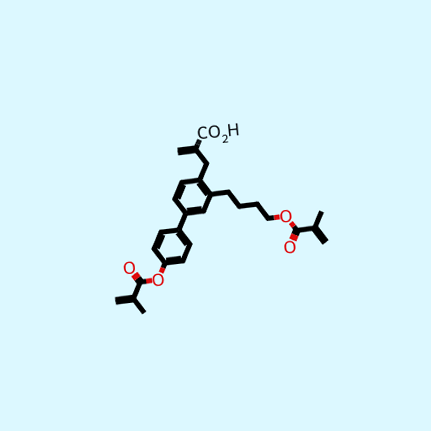 C=C(C)C(=O)OCCCCc1cc(-c2ccc(OC(=O)C(=C)C)cc2)ccc1CC(=C)C(=O)O